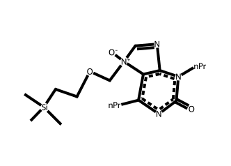 CCCc1nc(=O)n(CCC)c2c1[N+]([O-])(COCC[Si](C)(C)C)C=N2